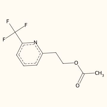 CC(=O)OCCc1cccc(C(F)(F)F)n1